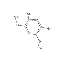 CCCCOc1cc(OCCCC)c(C(C)=O)cc1Br